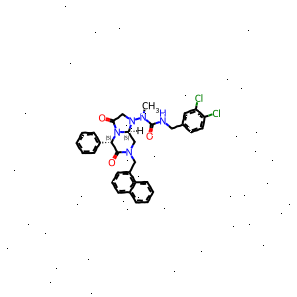 CN(C(=O)NCc1ccc(Cl)c(Cl)c1)N1CC(=O)N2[C@@H](c3ccccc3)C(=O)N(Cc3cccc4ccccc34)C[C@@H]21